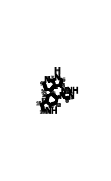 [C]1=NNN(c2c[nH]c3ncccc23)N1c1ccc2cc[nH]c2c1